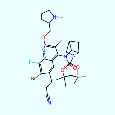 CN1CCCC1COc1nc2c(F)c(Br)c(CCC#N)cc2c(N(C(=O)OC(C)(C)C)C2C3CC2N(C(=O)OC(C)(C)C)C3)c1I